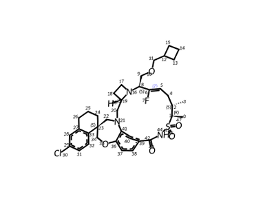 C[C@@H]1[C@@H](C)C/C=C(\F)[C@H](COCC2CCC2)N2CC[C@H]2CN2C[C@@]3(CCCc4cc(Cl)ccc43)COc3ccc(cc32)C(=O)NS1(=O)=O